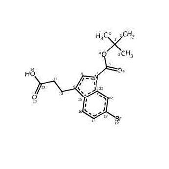 CC(C)(C)OC(=O)n1cc(CCC(=O)O)c2ccc(Br)cc21